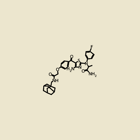 CC(C(N)=O)N(c1ccc(F)cc1)c1nc(N)c(C(=O)c2ccc(OCC(=O)NCC34CC5CC(CC(C5)C3)C4)cc2)s1